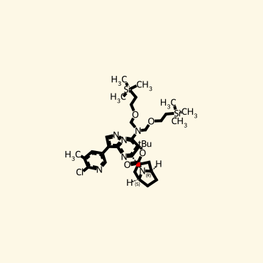 Cc1cc(-c2cnn3c(N(COCC[Si](C)(C)C)COCC[Si](C)(C)C)cc([C@@H]4C[C@H]5CC[C@@H](C4)N5C(=O)OC(C)(C)C)nc23)cnc1Cl